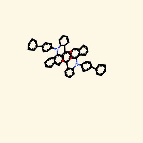 C1=CC(c2ccc(-c3ccccc3N(c3ccc(-c4ccccc4)cc3)c3cccc4ccccc34)cc2)C(N(c2ccc(-c3ccccc3)cc2)c2cccc3ccccc23)C=C1